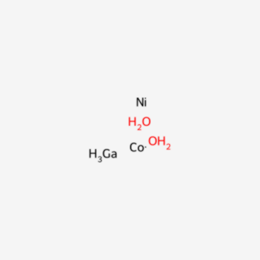 O.O.[Co].[GaH3].[Ni]